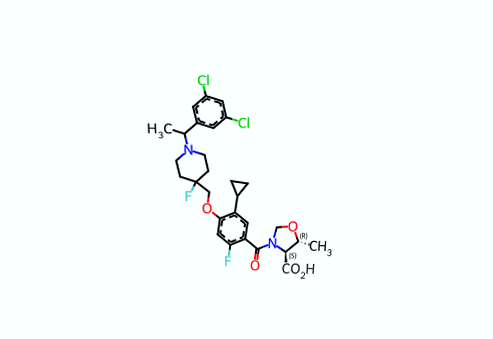 CC(c1cc(Cl)cc(Cl)c1)N1CCC(F)(COc2cc(F)c(C(=O)N3CO[C@H](C)[C@H]3C(=O)O)cc2C2CC2)CC1